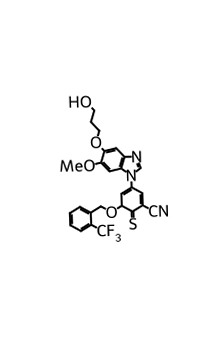 COc1cc2c(cc1OCCCO)ncn2C1=CC(OCc2ccccc2C(F)(F)F)C(=S)C(C#N)=C1